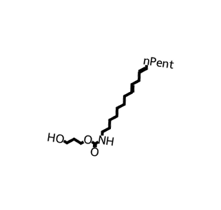 CCCCCC=CCC=CCCCCCCCNC(=O)OCCCO